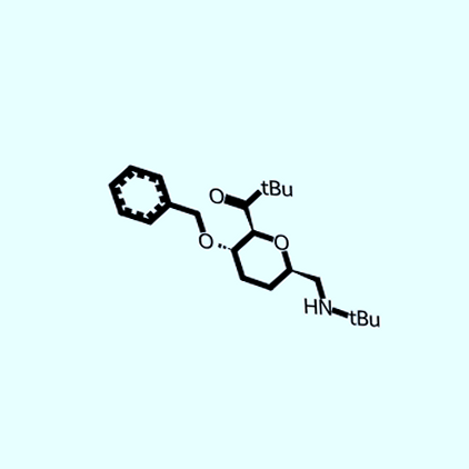 CC(C)(C)NC[C@H]1CC[C@H](OCc2ccccc2)[C@@H](C(=O)C(C)(C)C)O1